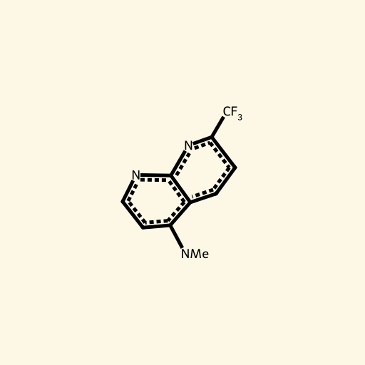 CNc1ccnc2nc(C(F)(F)F)ccc12